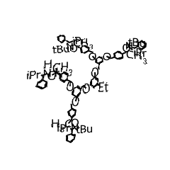 CCc1cc(OCc2cc(OCc3ccc(C(C)ONC(c4ccccc4)C(C)C)cc3)cc(OCc3ccc(C(C)ON(C(c4ccccc4)C(C)C)C(C)(C)C)cc3)c2)cc(OCc2cc(OCc3ccc(C(C)ON(C(c4ccccc4)C(C)C)C(C)(C)C)cc3)cc(OCc3ccc(C(C)ON(C(c4ccccc4)C(C)C)C(C)(C)C)cc3)c2)c1